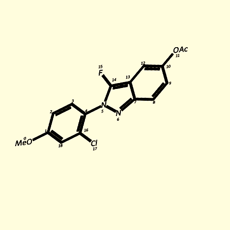 COc1ccc(-n2nc3ccc(OC(C)=O)cc3c2F)c(Cl)c1